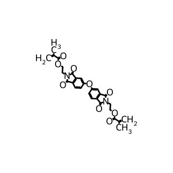 C=C(C)C(=O)OCCN1C(=O)c2ccc(Oc3ccc4c(c3)C(=O)N(CCOC(=O)C(=C)C)C4=O)cc2C1=O